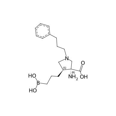 N[C@@]1(C(=O)O)CN(CCCc2ccccc2)C[C@@H]1CCCB(O)O